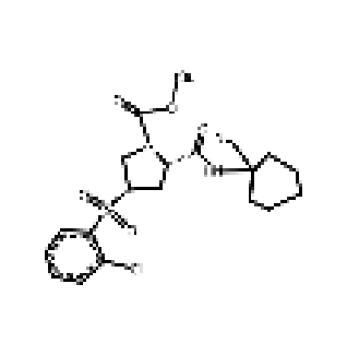 CC(C)(C)OC(=O)N1C[C@H](S(=O)(=O)c2ccccc2Cl)C[C@H]1C(=O)NC1(C#N)CCCCC1